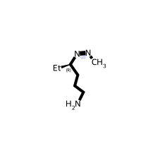 CC[C@H](CCCN)/N=N\C